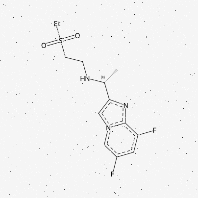 CCS(=O)(=O)CCN[C@H](C)c1cn2cc(F)cc(F)c2n1